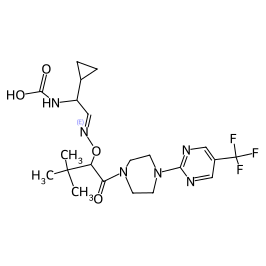 CC(C)(C)C(O/N=C/C(NC(=O)O)C1CC1)C(=O)N1CCN(c2ncc(C(F)(F)F)cn2)CC1